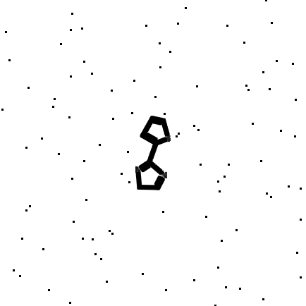 C1=NC(c2cccs2)=NC1